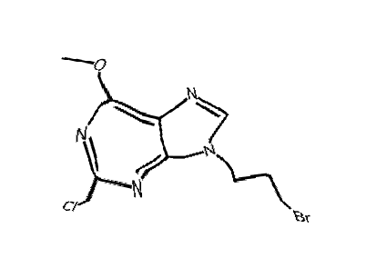 COc1nc(Cl)nc2c1ncn2CCBr